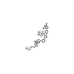 C/C=C\C=C/c1cc2nc3ccc(-c4cccc(-c5ccc6c(c5)C(C)(C)c5cc(-c7ccc(F)nc7F)ccc5-6)c4)cn3c2s1